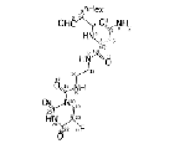 CCCCCCC(C=O)CN[C@H](CC(N)=O)C(=O)NCCNC(=O)n1cc(F)c(=O)[nH]c1=O